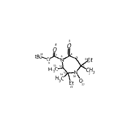 CCC1(C)CC(=O)N(C(=O)OC(C)(C)C)C(C)C(C)(CC)N1[O]